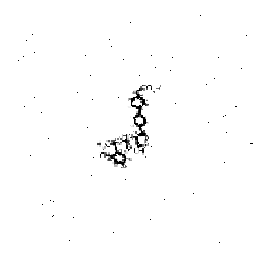 Cc1snc(-c2ccc(-c3ccc(CC(=O)O)cc3)cc2)c1NC(=O)O[C@H](C)c1ccccc1Cl